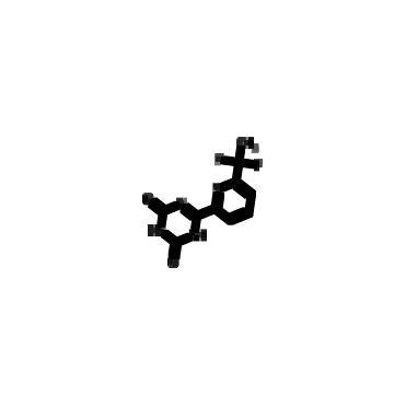 CC(F)(F)c1cccc(-c2nc(=O)[nH]c(=O)[nH]2)n1